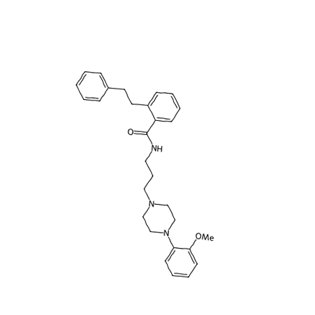 COc1ccccc1N1CCN(CCCNC(=O)c2ccccc2CCc2ccccc2)CC1